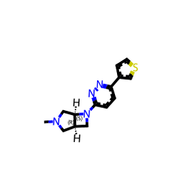 CN1C[C@@H]2CN(c3ccc(-c4ccsc4)nn3)[C@@H]2C1